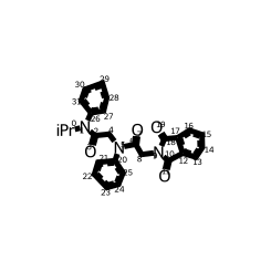 CC(C)N(C(=O)CN(C(=O)CN1C(=O)c2ccccc2C1=O)c1ccccc1)c1ccccc1